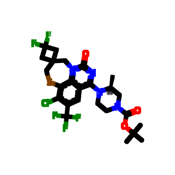 C[C@H]1CN(C(=O)OC(C)(C)C)CCN1c1nc(=O)n2c3c(c(Cl)c(C(F)(F)F)cc13)SCC1(C2)CC(F)(F)C1